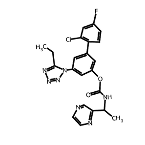 CCc1nnnn1-c1cc(OC(=O)NC(C)c2cnccn2)cc(-c2ccc(F)cc2Cl)c1